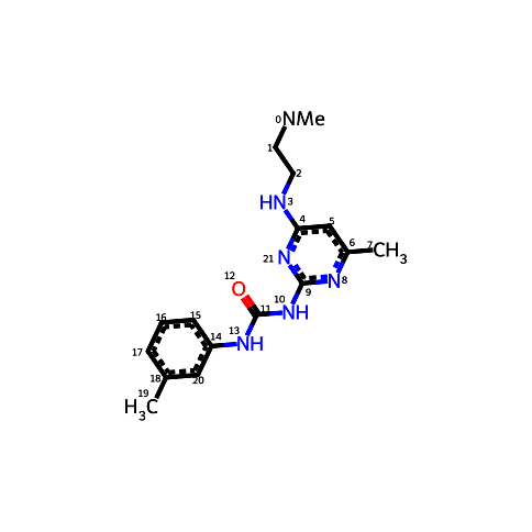 CNCCNc1cc(C)nc(NC(=O)Nc2cccc(C)c2)n1